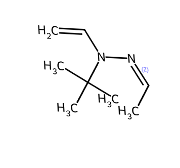 C=CN(/N=C\C)C(C)(C)C